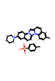 Cc1ccc(S(=O)(=O)[O-])cc1.Cc1ccc2c(ccc3c[n+]4c5ccc(N6CCCCC6)cc5ccc4n32)c1